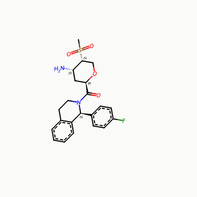 CS(=O)(=O)[C@@H]1CO[C@@H](C(=O)N2CCc3ccccc3[C@@H]2c2ccc(F)cc2)C[C@@H]1N